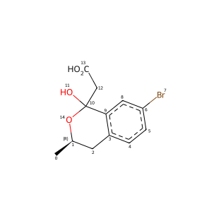 C[C@@H]1Cc2ccc(Br)cc2C(O)(CC(=O)O)O1